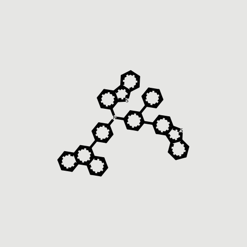 c1ccc(-c2cc(N(c3ccc(-c4cc5ccccc5c5ccccc45)cc3)c3cccc4c3sc3ccccc34)ccc2-c2ccc3sc4ccccc4c3c2)cc1